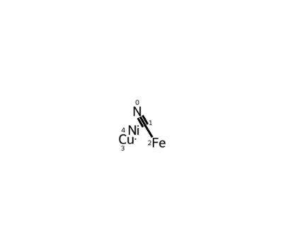 N#[C][Fe].[Cu].[Ni]